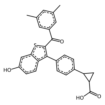 Cc1cc(C)cc(C(=O)c2sc3cc(O)ccc3c2-c2ccc(C3CC3C(=O)O)cc2)c1